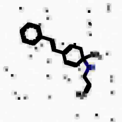 C=CCNC1([N+](=O)[O-])C=CC(C=Cc2ccccc2)=CC1